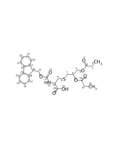 CCC(=O)OCC(CSCC(NC(=O)OCC1c2ccccc2-c2ccccc21)C(=O)O)OC(=O)CC